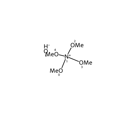 CO[N+](OC)(OC)OC.[OH-]